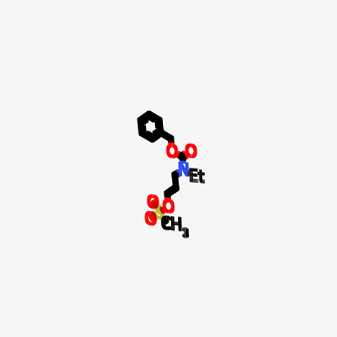 CCN(CCCOS(C)(=O)=O)C(=O)OCc1ccccc1